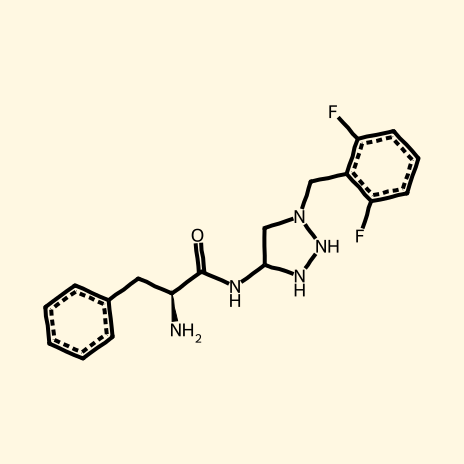 N[C@@H](Cc1ccccc1)C(=O)NC1CN(Cc2c(F)cccc2F)NN1